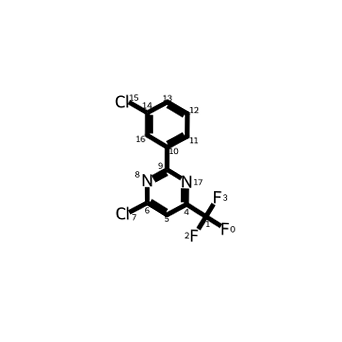 FC(F)(F)c1cc(Cl)nc(-c2cccc(Cl)c2)n1